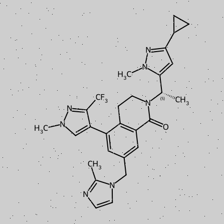 Cc1nccn1Cc1cc2c(c(-c3cn(C)nc3C(F)(F)F)c1)CCN([C@@H](C)c1cc(C3CC3)nn1C)C2=O